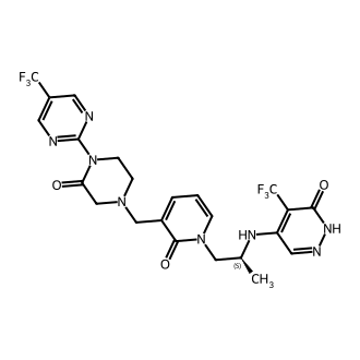 C[C@@H](Cn1cccc(CN2CCN(c3ncc(C(F)(F)F)cn3)C(=O)C2)c1=O)Nc1cn[nH]c(=O)c1C(F)(F)F